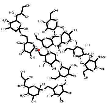 CC(=O)NC1C(O)[C@H](O[C@@H]2OC(CO[C@]3(O)CC(O)[C@@H](C)C([C@H](O)C(O)CO)O3)[C@H](O)[C@H](O)C2O)C(CO)O[C@H]1OC1[C@@H](OCC2O[C@@H](O[C@@H]3C(CO)O[C@@H](O[C@@H]4C(CO)O[C@@H](O)C(NC(C)=O)[C@H]4O)C(NC(C)=O)[C@H]3O)C(O)[C@@H](O[C@@H]3OC(CO)[C@H](O)C(O)[C@@H]3O[C@@H]3OC(CO)[C@@H](O[C@@H]4OC(CO[C@]5(O)CC(O)[C@@H](C)C([C@H](O)C(O)CO)O5)[C@H](O)[C@H](O)C4O)[C@H](O)C3NC(C)=O)[C@@H]2O)OC(CO)[C@@H](O)[C@@H]1O